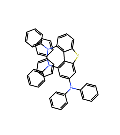 c1ccc(N(c2ccccc2)c2cc(N(c3ccccc3)c3ccccc3)c3c(c2)sc2cccc(N(c4ccccc4)c4ccccc4)c23)cc1